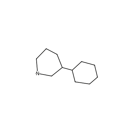 C1CCC(C2CCC[N]C2)CC1